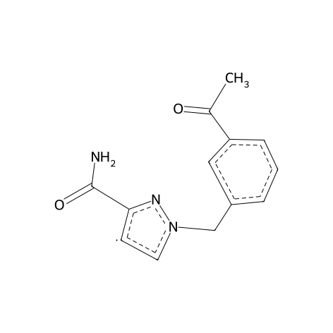 CC(=O)c1cccc(Cn2c[c]c(C(N)=O)n2)c1